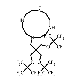 FC(F)(F)C(OCC(COC(C(F)(F)F)(C(F)(F)F)C(F)(F)F)(COC(C(F)(F)F)(C(F)(F)F)C(F)(F)F)CN1CCNCCNCCNCC1)(C(F)(F)F)C(F)(F)F